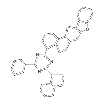 c1ccc(-c2nc(-c3cccc4ccccc34)nc(-c3cccc4c3ccc3cc5oc6ccccc6c5cc34)n2)cc1